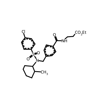 CCOC(=O)CCNC(=O)c1ccc(CN(C2CCCCC2C)S(=O)(=O)c2ccc(Cl)cc2)cc1